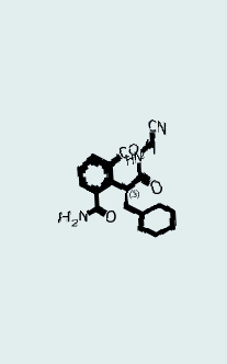 N#CCNC(=O)[C@@H](CC1CCCCC1)c1c(C(N)=O)cccc1C(=O)O